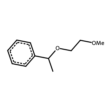 COCCOC(C)c1ccccc1